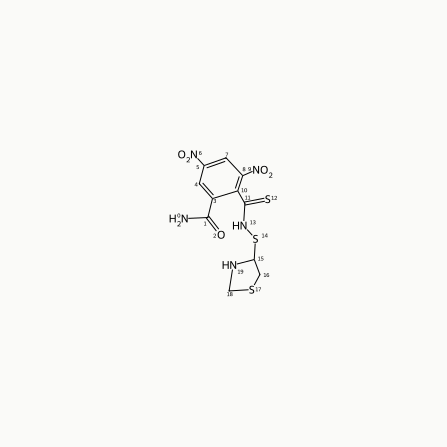 NC(=O)c1cc([N+](=O)[O-])cc([N+](=O)[O-])c1C(=S)NSC1CSCN1